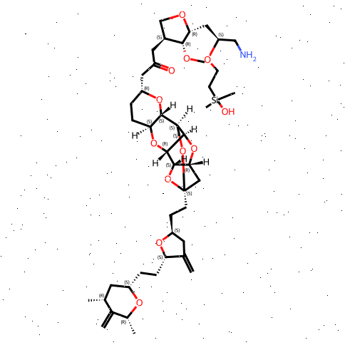 C=C1C[C@H](CC[C@@]23C[C@H]4O[C@@H]5[C@@H](O2)[C@H]2O[C@@H](CC(=O)C[C@H]6CO[C@H](C[C@@H](CN)OCC[Si](C)(C)O)[C@@H]6OC)CC[C@@H]2O[C@H]5[C@H]4O3)O[C@H]1CC[C@H]1C[C@@H](C)C(=C)[C@@H](C)O1